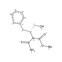 CC(C)(C)OC(=O)N(C(N)=S)[C@@H](CO)Cc1ccccc1